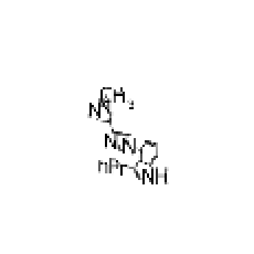 CCCc1c[nH]c2cccc(-n3cnc(-c4cnn(C)c4)c3)c12